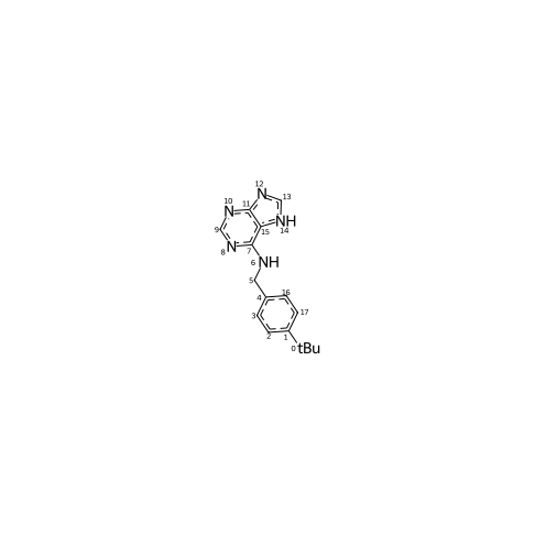 CC(C)(C)c1ccc(CNc2ncnc3nc[nH]c23)cc1